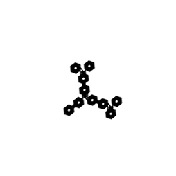 c1ccc(-c2ccc(N(c3ccc(-c4ccc(N(c5ccccc5)c5ccccc5)cc4)cc3)c3ccc(-c4ccc(N(c5ccccc5)c5ccccc5)cc4)cc3)cc2)cc1